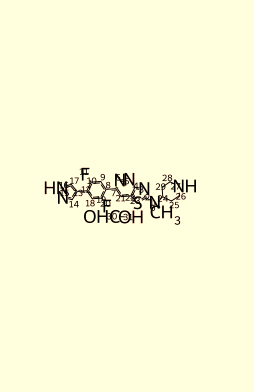 CN(c1nc2nnc(-c3cc(F)c(-c4cn[nH]c4)cc3F)cc2s1)C1CCNCC1.O=CO